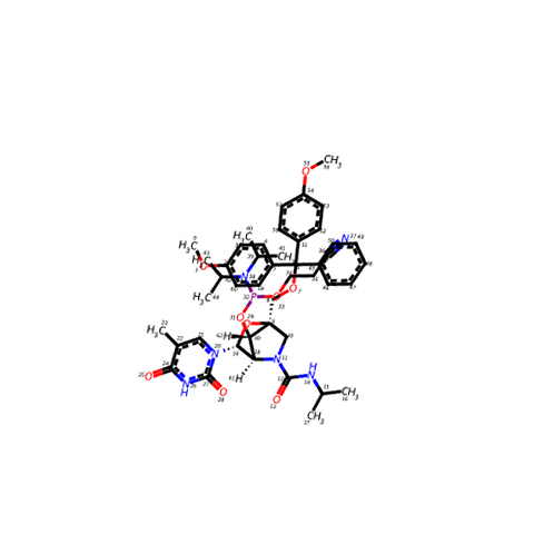 COc1ccc(C(OC[C@@]23CN(C(=O)NC(C)C)[C@@H]([C@H](n4cc(C)c(=O)[nH]c4=O)O2)[C@@H]3OP(OCCC#N)N(C(C)C)C(C)C)(c2ccccc2)c2ccc(OC)cc2)cc1